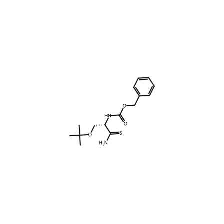 CC(C)(C)OC[C@H](NC(=O)OCc1ccccc1)C(N)=S